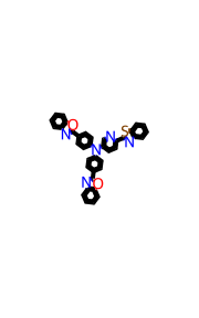 c1ccc2oc(-c3ccc(N(c4ccc(-c5nc6ccccc6o5)cc4)c4ccc(-c5nc6ccccc6s5)nc4)cc3)nc2c1